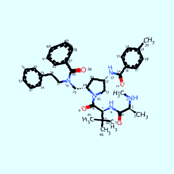 CN[C@@H](C)C(=O)N[C@H](C(=O)N1C[C@@H](NC(=O)c2ccc(C)cc2)C[C@H]1CN(CCc1ccccc1)C(=O)c1ccccc1)C(C)(C)C